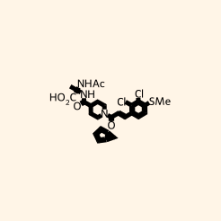 CSc1ccc(C=CC(=O)N2CCC(C(=O)NC(C)(NC(C)=O)C(=O)O)CC2)c(Cl)c1Cl.c1cc2cc-2c1